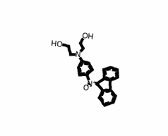 [O-][N+](=C1c2ccccc2-c2ccccc21)c1ccc(N(CCO)CCO)cc1